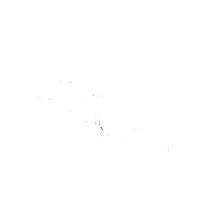 Cc1ccc(O)c(C(=O)N[C@@H]2CCc3cc(Cl)ccc32)c1